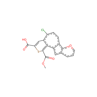 COC(=O)C1=c2c(c(Cl)ccc3c2cc2cccoc23)C=C(C(=O)O)S1